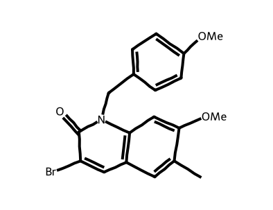 COc1ccc(Cn2c(=O)c(Br)cc3cc(C)c(OC)cc32)cc1